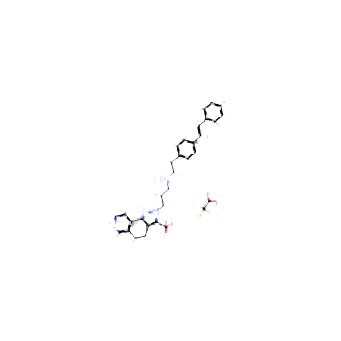 O=C(O)C(F)(F)F.O=C(O)c1c2c(nn1CCCNCCc1ccc(/C=C/c3ccccc3)cc1)-c1ccncc1CC2